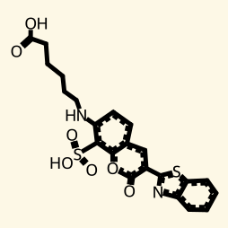 O=C(O)CCCCCNc1ccc2cc(-c3nc4ccccc4s3)c(=O)oc2c1S(=O)(=O)O